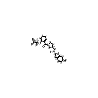 O=C(c1ccccc1OC(F)(F)C(F)F)N1CCC(CNc2nc3ccc(F)cc3s2)C1